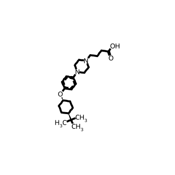 CC(C)(C)[C@H]1CC[C@H](Oc2ccc(N3CCN(CCCC(=O)O)CC3)cc2)CC1